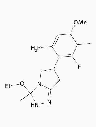 CCOC1(C)NN=C2CC(C3=C(F)C(C)[C@@H](OC)C=C3P)CN21